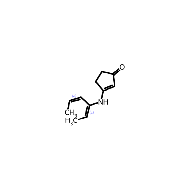 C/C=C\C(=C/C)NC1=CC(=O)CC1